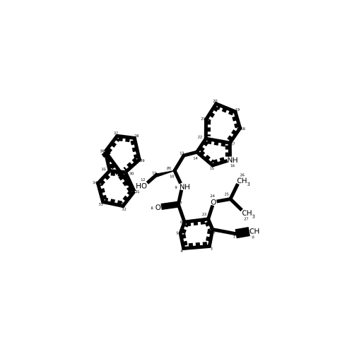 C#Cc1cccc(C(=O)N[C@@H](CO)Cc2c[nH]c3ccccc23)c1OC(C)C.c1cc2c3cccc2c3c1